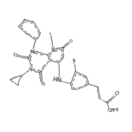 Cn1c(=O)cc(Nc2ccc(/C=C/C(=O)O)cc2F)c2c(=O)n(C3CC3)c(=O)n(-c3ccccc3)c21